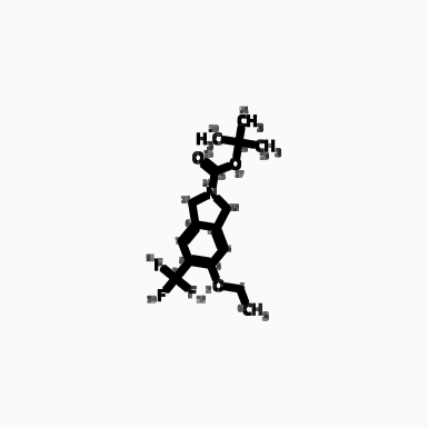 CCOc1cc2c(cc1C(F)(F)F)CN(C(=O)OC(C)(C)C)C2